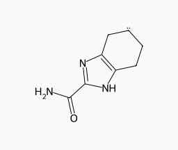 NC(=O)c1nc2c([nH]1)CC[C]C2